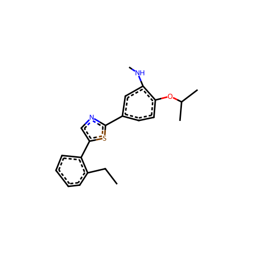 CCc1ccccc1-c1cnc(-c2ccc(OC(C)C)c(NC)c2)s1